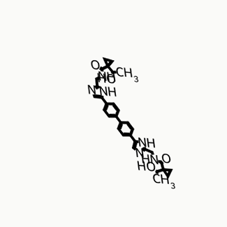 CC(O)C1(C(=O)NCc2ncc(-c3ccc(-c4ccc(-c5cnc(CNC(=O)C6(C(C)O)CC6)[nH]5)cc4)cc3)[nH]2)CC1